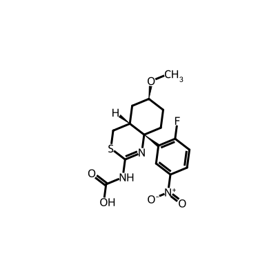 CO[C@H]1CC[C@]2(c3cc([N+](=O)[O-])ccc3F)N=C(NC(=O)O)SC[C@@H]2C1